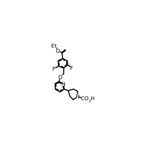 C=C(OCC)c1cc(F)c(COc2cccc(C3CCN(C(=O)O)CC3)n2)c(F)c1